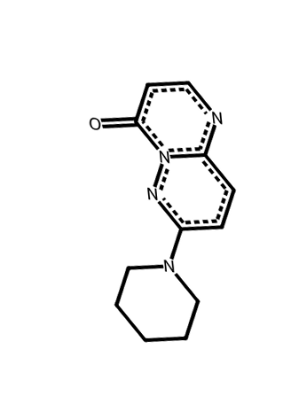 O=c1ccnc2ccc(N3CCCCC3)nn12